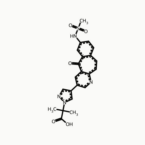 CC(C)(C(=O)O)n1cc(-c2cnc3ccc4ccc(NS(C)(=O)=O)cc4c(=O)c3c2)cn1